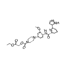 CCOC(=O)COC(=O)N1CCN(c2ccc(NC(=O)c3cccc(-c4ccn[nH]4)n3)c(OC)c2)CC1